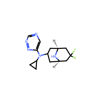 FC1(F)C[C@H]2CC(N(c3cncnn3)C3CC3)C[C@@H](C1)N2